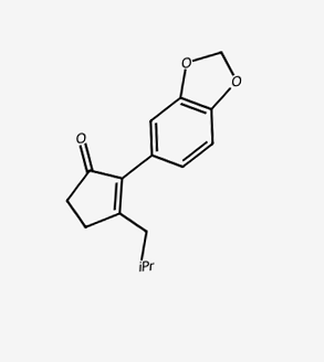 CC(C)CC1=C(c2ccc3c(c2)OCO3)C(=O)CC1